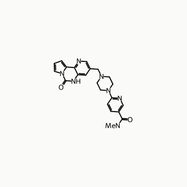 CNC(=O)c1ccc(N2CCN(Cc3cnc4c(c3)[nH]c(=O)n3cccc43)CC2)nc1